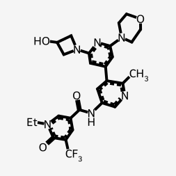 CCn1cc(C(=O)Nc2cnc(C)c(-c3cc(N4CCOCC4)nc(N4CC(O)C4)c3)c2)cc(C(F)(F)F)c1=O